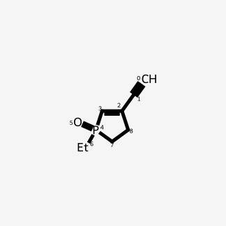 C#CC1=CP(=O)(CC)CC1